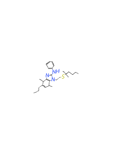 CCCCC(C)(C)SCCn1c(Nc2ccccc2)nc2c1C(C)C=C(CCC)C2C